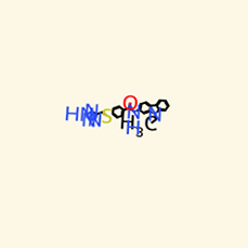 CCn1c2ccccc2c2ccc(NC(=O)c3ccc(SCc4nn[nH]n4)cc3)cc21